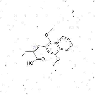 CC/C(=C/c1cc(OC)c2ccccc2c1OC)C(=O)O